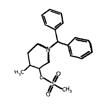 CC1CCN(C(c2ccccc2)c2ccccc2)CC1OS(C)(=O)=O